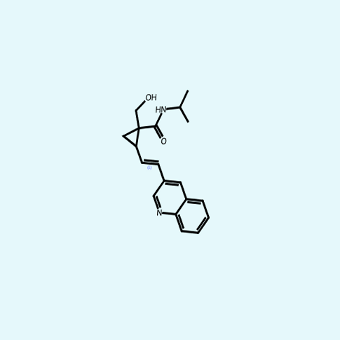 CC(C)NC(=O)C1(CO)CC1/C=C/c1cnc2ccccc2c1